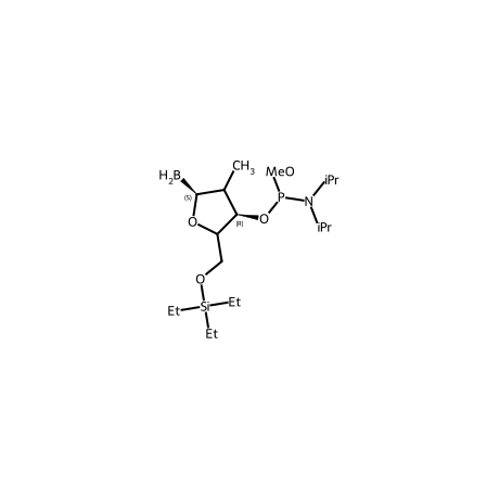 B[C@@H]1OC(CO[Si](CC)(CC)CC)[C@H](OP(OC)N(C(C)C)C(C)C)C1C